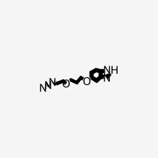 [N-]=[N+]=NCCOCCCOc1ccc2[nH]cnc2c1